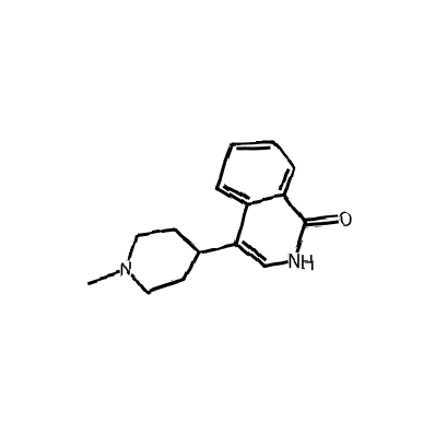 CN1CCC(c2c[nH]c(=O)c3ccccc23)CC1